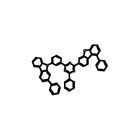 c1ccc(-c2ccc3c4ccccc4n(-c4cccc(-c5nc(-c6ccccc6)nc(-c6ccc7c(c6)oc6cccc(-c8ccccc8)c67)n5)c4)c3c2)cc1